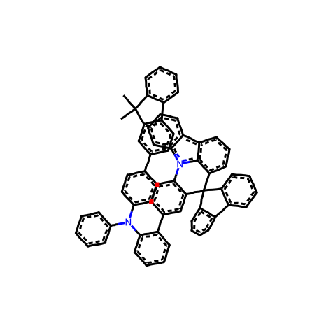 CC1(C)c2ccccc2-c2ccc(-c3ccc(N(c4ccccc4)c4ccccc4-c4ccc5c(c4)C4(c6ccccc6-c6ccccc64)c4cccc6c7ccccc7n-5c46)cc3)cc21